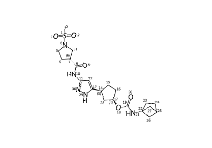 CS(=O)(=O)N1CC[C@@H](C(=O)Nc2cc([C@H]3CC[C@@H](OC(=O)NC45CCC(C4)C5)C3)[nH]n2)C1